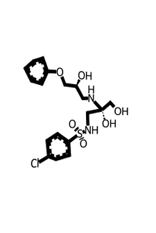 O=S(=O)(NC[C@](O)(CO)NC[C@H](O)COc1ccccc1)c1ccc(Cl)cc1